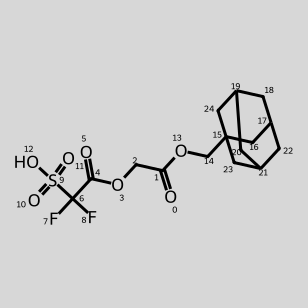 O=C(COC(=O)C(F)(F)S(=O)(=O)O)OCC12CC3CC(CC(C3)C1)C2